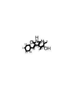 Cc1nc2c(c(C)c1O)C(=CC1CCCCC1)C(=O)N2